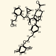 CC(=O)N1CC2CC(c3ccc(CCCOc4cc(F)ccc4Br)cc3)=C(C(=O)N(Cc3ccccc3CCO)C3CC3)C(C1)N2